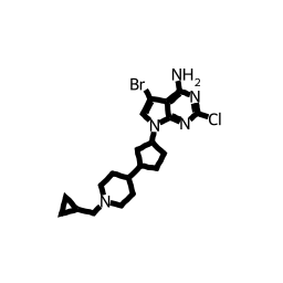 Nc1nc(Cl)nc2c1c(Br)cn2C1CCC(C2CCN(CC3CC3)CC2)C1